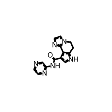 O=C(Nc1cnccn1)c1c[nH]c2c1-c1nccn1CC2